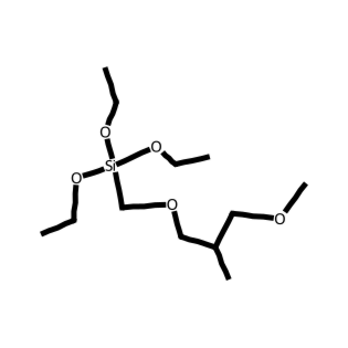 CCO[Si](COCC(C)COC)(OCC)OCC